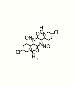 CN1CC(Cl)CCC1C1C(=O)N(N=O)C(C2CCC(Cl)CN2C)C(=O)N1N=O